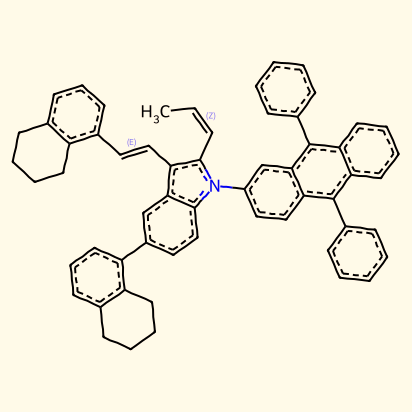 C/C=C\c1c(/C=C/c2cccc3c2CCCC3)c2cc(-c3cccc4c3CCCC4)ccc2n1-c1ccc2c(-c3ccccc3)c3ccccc3c(-c3ccccc3)c2c1